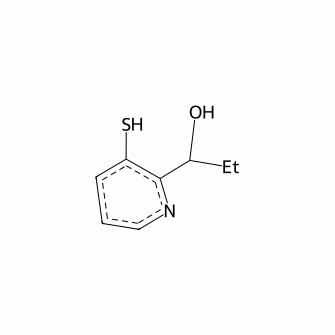 CCC(O)c1ncccc1S